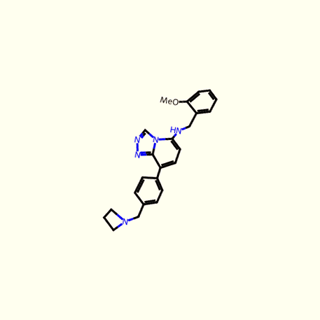 COc1ccccc1CNc1ccc(-c2ccc(CN3CCC3)cc2)c2nncn12